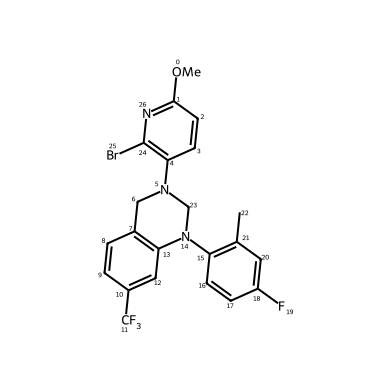 COc1ccc(N2Cc3ccc(C(F)(F)F)cc3N(c3ccc(F)cc3C)C2)c(Br)n1